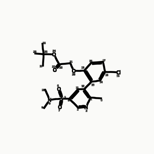 Cc1ncc(S(=O)(=O)N(C)C)cc1-c1cc(Cl)ccc1OCC(=O)OC(C)(C)C